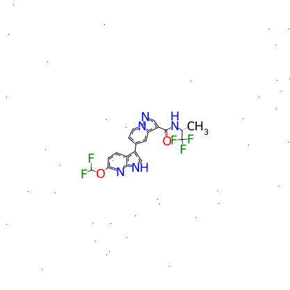 C[C@@H](NC(=O)c1cnn2ccc(-c3c[nH]c4nc(OC(F)F)ccc34)cc12)C(F)(F)F